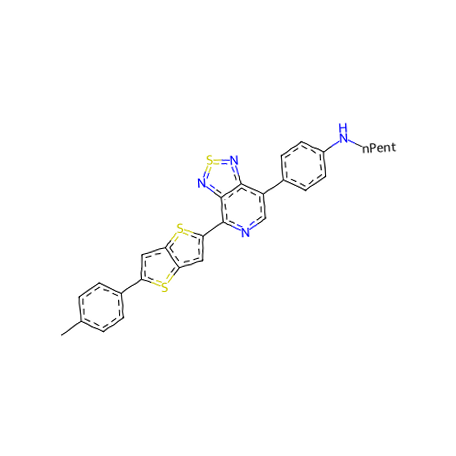 CCCCCNc1ccc(-c2cnc(-c3cc4sc(-c5ccc(C)cc5)cc4s3)c3nsnc23)cc1